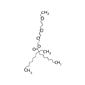 CCCCCCCCC(CC)(CCCCCCCC)C(=O)OCCOCCOCCCOCC